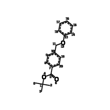 CC(C)(C)OC(=O)c1ccc(COc2[c]cccc2)cc1